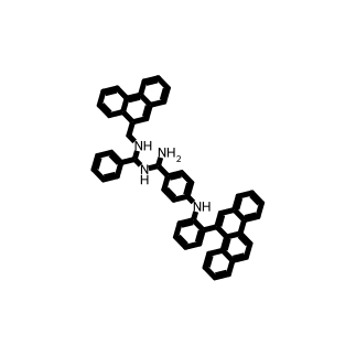 NC(NC(NCC1C=c2ccccc2=C2C=CC=CC21)c1ccccc1)c1ccc(Nc2ccccc2-c2cc3ccccc3c3ccc4ccccc4c23)cc1